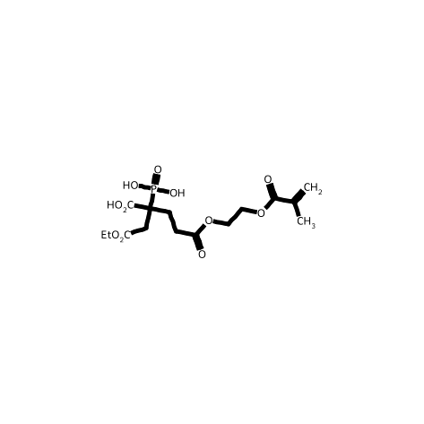 C=C(C)C(=O)OCCOC(=O)CCC(CC(=O)OCC)(C(=O)O)P(=O)(O)O